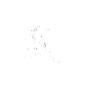 CCC1=C[C@H]2CN(C1)Cc1c([nH]c3ccc(Sc4cccc(O)c4)cc13)[C@@](C(=O)OC)(C1C=C3C(=CC1OC)N(C)[C@H]1[C@@](O)(C(=O)OC)[C@H](OC(C)=O)C4[C@@H](CC)CCN5CC[C@]31[C@H]45)C2